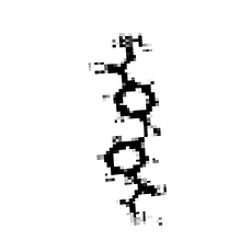 BCC(=O)c1ccc(Oc2cccc(C(=O)CB)c2)cc1